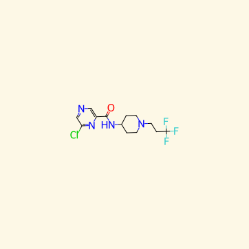 O=C(NC1CCN(CCC(F)(F)F)CC1)c1cncc(Cl)n1